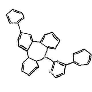 C1=CC2c3ccc(-c4ccccc4)cc3-c3ccccc3N(c3nccc(-c4ccccc4)n3)C2C=C1